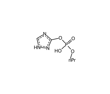 CCCOP(=O)(O)Oc1nc[nH]n1